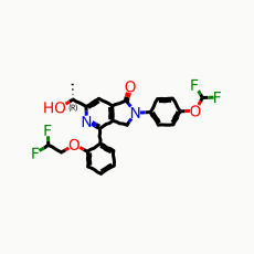 C[C@@H](O)c1cc2c(c(-c3ccccc3OCC(F)F)n1)CN(c1ccc(OC(F)F)cc1)C2=O